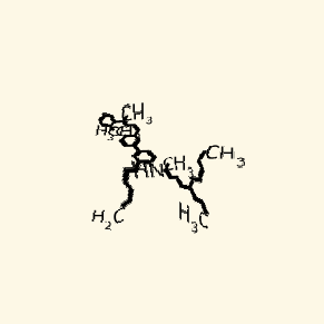 C=C/C=C\C=C/Cc1cc(C2=CC(/C=C\C(C)=C(/C)c3ccccc3C)CC=C2)ccc1N/C(C)=C/C=C/C(=C/C=C\C)C/C=C\C=C/C